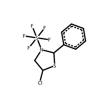 FS(F)(F)(F)(F)N1CC(Cl)SC1c1ccccc1